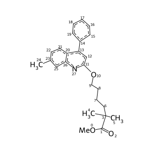 COC(=O)C(C)(C)CCCCOc1cc(-c2ccccc2)c2ccc(C)cc2n1